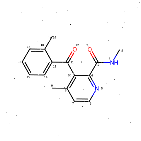 CNC(=O)c1nccc(C)c1C(=O)c1ccccc1C